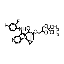 CC1(C)OCC(CONC(=O)c2c(Nc3ccc(I)cc3F)c3cnccc3n2C2CC2)O1